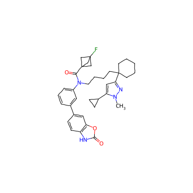 Cn1nc(C2(CCCCN(C(=O)C34CC(F)(C3)C4)c3cccc(-c4ccc5[nH]c(=O)oc5c4)c3)CCCCC2)cc1C1CC1